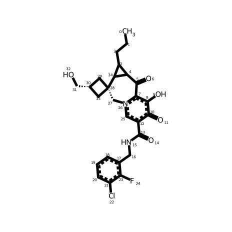 CCCC1C2C(=O)c3c(O)c(=O)c(C(=O)NCc4cccc(Cl)c4F)cn3C[C@]3(C[C@@H](CO)C3)C12